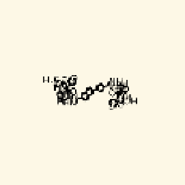 COC(=O)NC(C(=O)N1[C@H](c2nc(-c3ccc4cc(-c5ccc(-c6c[nH]c([C@@H]7C[C@@H]8CCC[C@@H]8N7C(=O)C(NC(=O)O)C7CCOCC7)n6)cc5)ccc4c3)c[nH]2)C[C@@H]2CCC[C@@H]21)C1CCOCC1